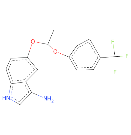 CC(Oc1ccc(C(F)(F)F)cc1)Oc1ccc2[nH]cc(N)c2c1